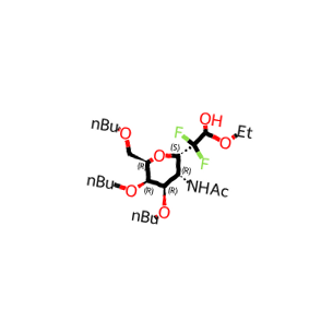 CCCCOC[C@H]1O[C@H](C(F)(F)C(O)OCC)[C@H](NC(C)=O)[C@@H](OCCCC)[C@H]1OCCCC